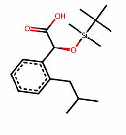 CC(C)Cc1ccccc1[C@H](O[Si](C)(C)C(C)(C)C)C(=O)O